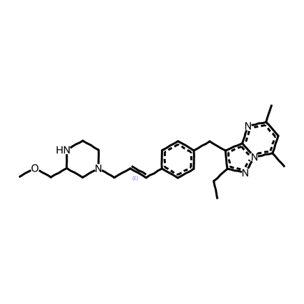 CCc1nn2c(C)cc(C)nc2c1Cc1ccc(/C=C/CN2CCNC(COC)C2)cc1